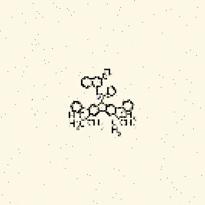 CC(C)(C)c1cc2c(cc1-c1ccccc1)[CH](/[Zr+2](=[CH]/c1cccc3ccccc13)[C]1=CC=CC1)c1cc(-c3ccccc3)c(C(C)(C)C)cc1-2.[Cl-].[Cl-]